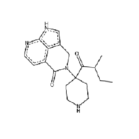 CCC(C)C(=O)C1(N2Cc3c[nH]c4nccc(c34)C2=O)CCNCC1